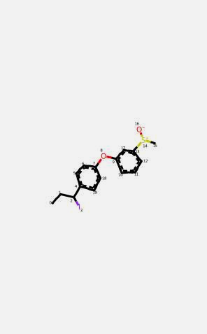 CCC(I)c1ccc(Oc2cccc([S+](C)[O-])c2)cc1